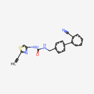 C#Cc1nc(NC(=O)NCc2ccc(-c3ccccc3C#N)cc2)cs1